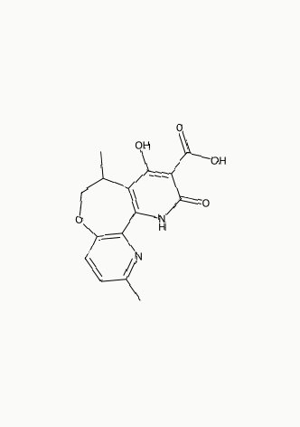 Cc1ccc2c(n1)-c1[nH]c(=O)c(C(=O)O)c(O)c1C(C)CO2